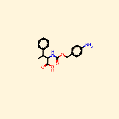 CC(c1ccccc1)C(NC(=O)OCc1ccc(N)cc1)C(=O)O